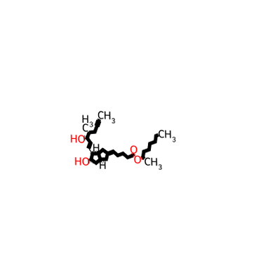 CC#CCC(C)[C@H](O)C=C[C@@H]1[C@H]2CC(=CCCCC(=O)OC(C)CCCCCC)C[C@H]2C[C@H]1O